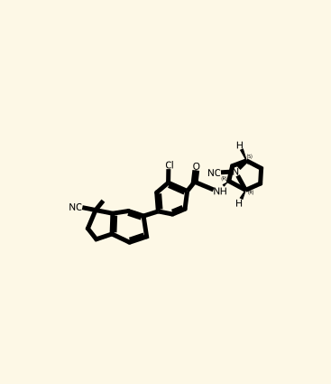 CC1(C#N)CCc2ccc(-c3ccc(C(=O)N[C@@H]4C[C@@H]5CC[C@H]4N5C#N)c(Cl)c3)cc21